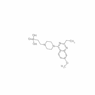 CCc1nc(N2CCN(CCP(=O)(O)O)CC2)c2ccc(OC)cc2n1